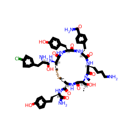 C[C@@H](O)[C@H]1C(=O)N[C@H](C(=O)N[C@H](CCc2ccc(O)cc2)C(N)=O)CSSC[C@@H](NC(O)[C@@H](N)Cc2ccc(Cl)cc2)C(=O)N[C@@H](Cc2ccc(O)cc2)C(=O)N[C@H](Cc2ccc(C(N)=O)cc2)C(=O)N[C@@H](CCCCN)C(=O)N1C